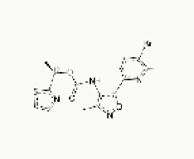 Cc1nc(-c2onc(C)c2NC(=O)O[C@H](C)c2nccs2)ccc1Br